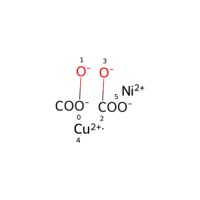 O=C([O-])[O-].O=C([O-])[O-].[Cu+2].[Ni+2]